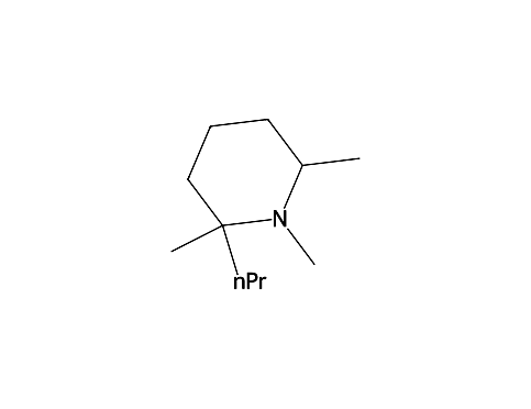 CCCC1(C)CCCC(C)N1C